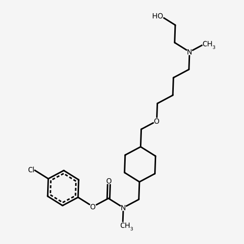 CN(CCO)CCCCOCC1CCC(CN(C)C(=O)Oc2ccc(Cl)cc2)CC1